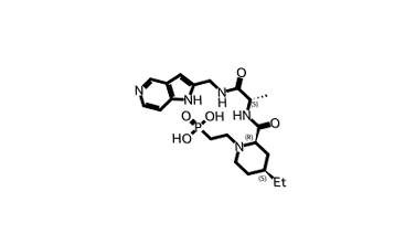 CC[C@H]1CCN(CCP(=O)(O)O)[C@@H](C(=O)N[C@@H](C)C(=O)NCc2cc3cnccc3[nH]2)C1